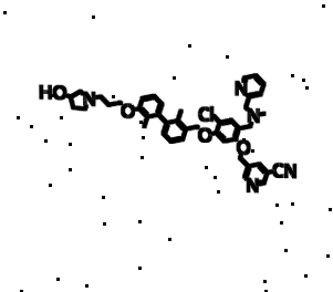 Cc1c(COc2cc(OCc3cncc(C#N)c3)c(CN(C)Cc3ccccn3)cc2Cl)cccc1-c1cccc(OCCCN2CCC(O)C2)c1C